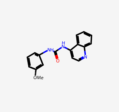 COc1cccc(NC(=O)Nc2ccnc3ccccc23)c1